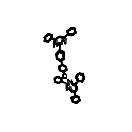 c1ccc(-c2cc(-c3ccccc3)nc(-c3ccc(-c4ccc(Oc5ccccc5-c5nc(-c6ccccc6)cc(-c6ccccc6)n5)cc4)cc3)n2)cc1